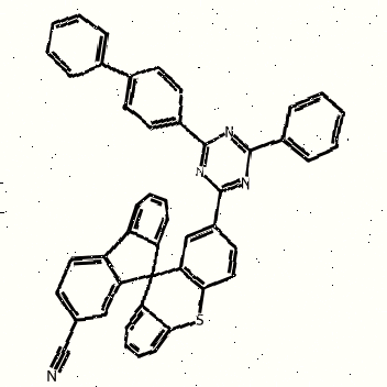 N#Cc1ccc2c(c1)C1(c3ccccc3Sc3ccc(-c4nc(-c5ccccc5)nc(-c5ccc(-c6ccccc6)cc5)n4)cc31)c1ccccc1-2